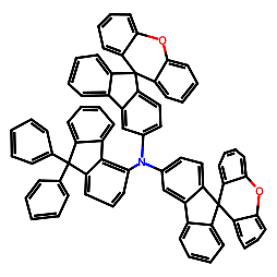 c1ccc(C2(c3ccccc3)c3ccccc3-c3c(N(c4ccc5c(c4)-c4ccccc4C54c5ccccc5Oc5ccccc54)c4ccc5c(c4)-c4ccccc4C54c5ccccc5Oc5ccccc54)cccc32)cc1